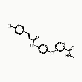 CNC(=O)c1cc(Oc2ccc(NC(=O)C=Cc3ccc(Cl)cc3)cc2)ccn1